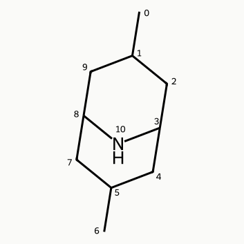 CC1CC2CC(C)CC(C1)N2